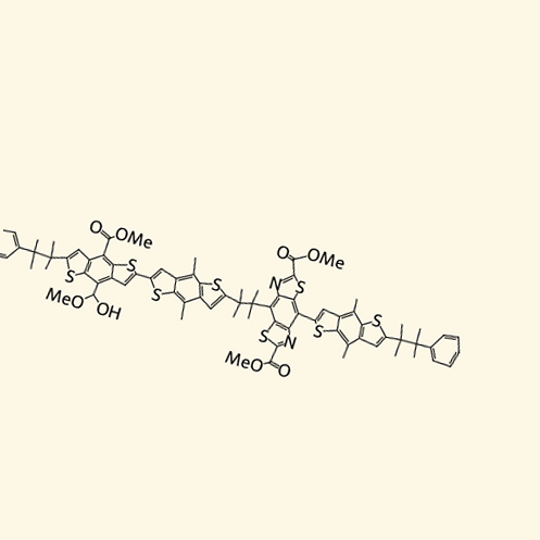 COC(=O)c1nc2c(C(C)(C)C(C)(C)c3cc4c(C)c5sc(-c6cc7c(C(O)OC)c8sc(C(C)(C)C(C)(C)c9ccccc9)cc8c(C(=O)OC)c7s6)cc5c(C)c4s3)c3sc(C(=O)OC)nc3c(-c3cc4c(C)c5sc(C(C)(C)C(C)(C)c6ccccc6)cc5c(C)c4s3)c2s1